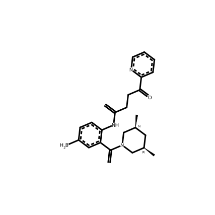 Bc1ccc(NC(=C)CCC(=O)c2ccccn2)c(C(=C)N2C[C@H](C)C[C@H](C)C2)c1